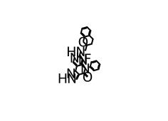 O=c1c2c[nH]nc2c2cnc(NCC3CCc4ccccc4O3)nc2n1-c1ccccc1F